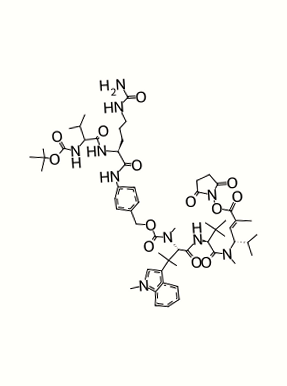 C/C(=C\[C@H](C(C)C)N(C)C(=O)[C@@H](NC(=O)[C@@H](N(C)C(=O)OCc1ccc(NC(=O)[C@H](CCCNC(N)=O)NC(=O)C(NC(=O)OC(C)(C)C)C(C)C)cc1)C(C)(C)c1cn(C)c2ccccc12)C(C)(C)C)C(=O)ON1C(=O)CCC1=O